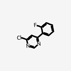 Fc1ccccc1-c1cc(Cl)ncn1